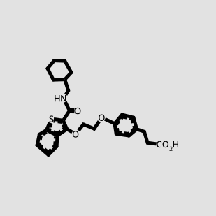 O=C(O)CCc1ccc(OCCOc2c(C(=O)NCC3CCCCC3)sc3ccccc23)cc1